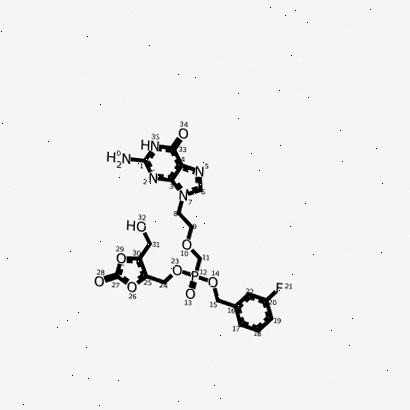 Nc1nc2c(ncn2CCOCP(=O)(OCc2cccc(F)c2)OCc2oc(=O)oc2CO)c(=O)[nH]1